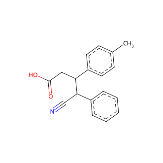 Cc1ccc(C(CC(=O)O)C(C#N)c2ccccc2)cc1